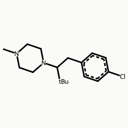 CN1CCN(C(Cc2ccc(Cl)cc2)C(C)(C)C)CC1